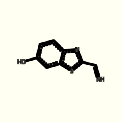 N=Cc1nc2ccc(O)cc2s1